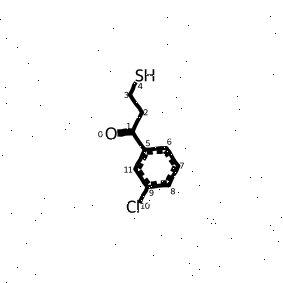 O=C(CCS)c1cccc(Cl)c1